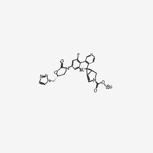 CC(C)(C)OC(=O)N1C=C2C(C1)C2(C#N)c1ccncc1-c1c(F)cc(N2C[C@H](Cn3ccnn3)OC2=O)cc1F